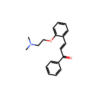 CN(C)CCOc1ccccc1/C=C/C(=O)c1ccccc1